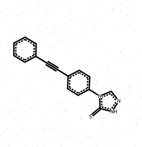 S=c1[nH]ncn1-c1ccc(C#Cc2ccccc2)cc1